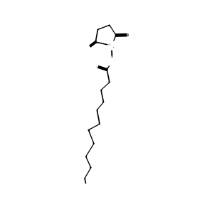 O=C(CCCCCCCCCCI)ON1C(=O)CCC1=O